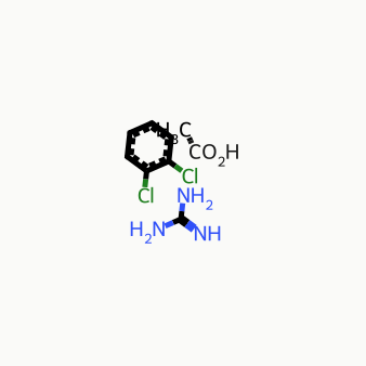 CC(=O)O.Clc1ccccc1Cl.N=C(N)N